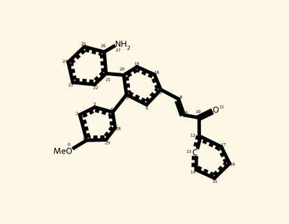 COc1ccc(-c2cc(C=CC(=O)c3ccccc3)ccc2-c2ccccc2N)cc1